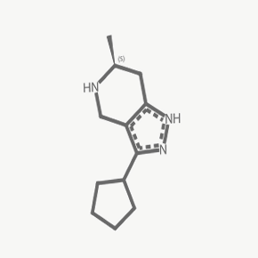 C[C@H]1Cc2[nH]nc(C3CCCC3)c2CN1